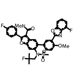 CNC(=O)c1c(-c2ccc(F)cc2)oc2cc(N(CC(C)(C)F)S(C)(=O)=O)c(-c3ccc(OC)c(-c4nc5c(F)cccc5o4)c3)cc12